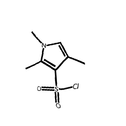 Cc1cn(C)c(C)c1S(=O)(=O)Cl